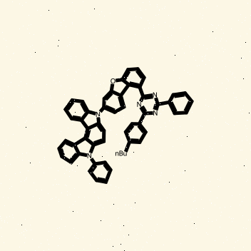 CCCCc1ccc(-c2nc(-c3ccccc3)nc(-c3cccc4oc5cc(-n6c7ccccc7c7c8c9ccccc9n(-c9ccccc9)c8ccc76)ccc5c34)n2)cc1